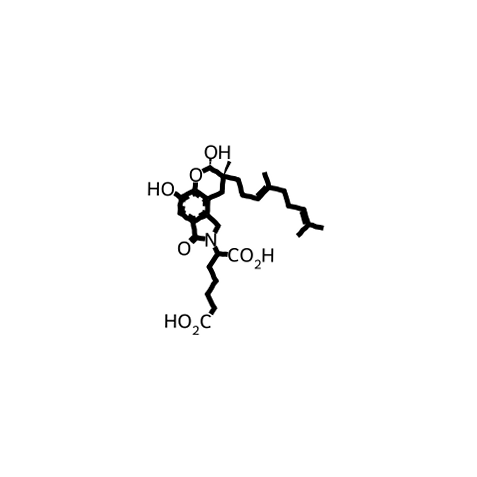 CC(C)=CCC/C(C)=C/CC[C@]1(C)Cc2c3c(cc(O)c2O[C@@H]1O)C(=O)N(C(CCCCC(=O)O)C(=O)O)C3